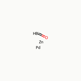 [O]=[BiH].[Pd].[Zn]